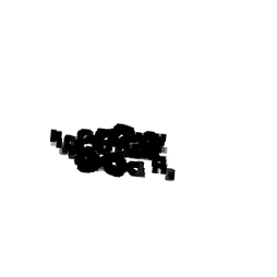 COc1cc(C=C2O[C@@H](C)[C@H]3COC[C@@H](c4ccc(Cl)cc4)N3C2=O)ccc1-n1cnc(C)c1